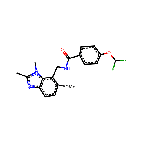 COc1ccc2nc(C)n(C)c2c1CNC(=O)c1ccc(OC(F)F)cc1